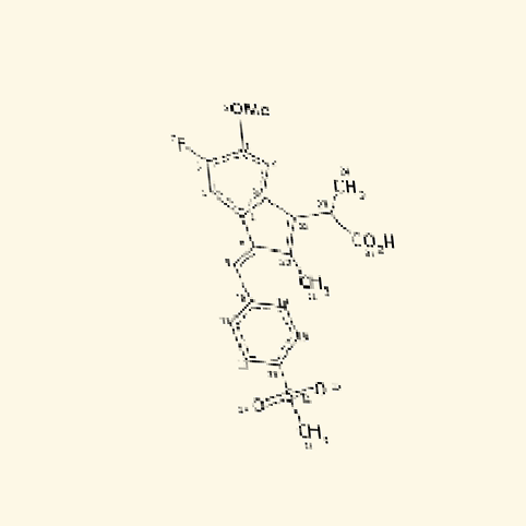 COc1cc2c(cc1F)C(=Cc1ccc(S(C)(=O)=O)cc1)C(C)=C2C(C)C(=O)O